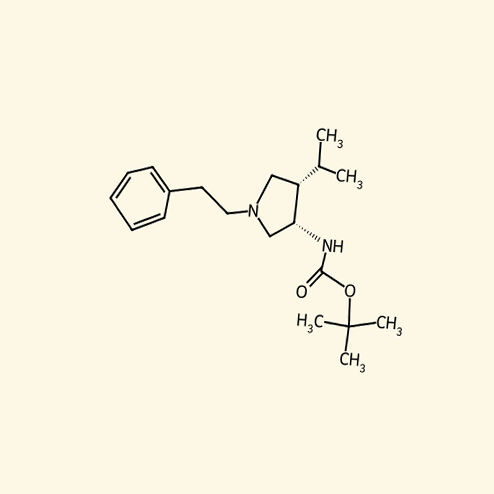 CC(C)[C@H]1CN(CCc2ccccc2)C[C@H]1NC(=O)OC(C)(C)C